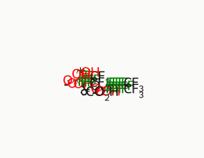 C=CC(=O)O.C=CC(=O)OCC(O)CC(F)(F)C(F)(F)C(F)(F)C(F)(F)C(F)(C(F)(F)F)C(F)(F)F.C=CC(=O)OCC(O)CC(F)(F)C(F)(F)C(F)(F)C(F)(F)C(F)(F)C(F)(F)C(F)(C(F)(F)F)C(F)(F)F.CC(C)(CO)CO.O=C(O)c1ccccc1